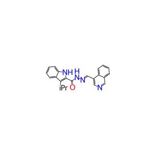 CC(C)c1c(C(=O)NN=Cc2cncc3ccccc23)[nH]c2ccccc12